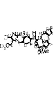 CCCCc1nc(Cl)c(CC(=O)O)n1Cc1ccc(NC(=O)C(Cc2cccs2)n2cccc2C(=O)OC)cc1